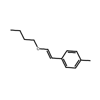 CCCCO/C=C/c1ccc(C)cc1